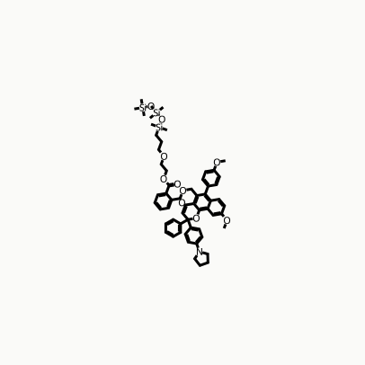 COc1ccc(-c2c(COC(=O)c3ccccc3C(=O)OCCOCCC[Si](C)(C)O[Si](C)(C)O[Si](C)(C)C)c3c(c4cc(OC)ccc24)OC(c2ccccc2)(c2ccc(N4CCCC4)cc2)C=C3)cc1